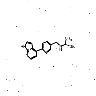 C[C@H](NCc1ccc(-c2ccnc3[nH]ccc23)cc1)C(C)(C)C